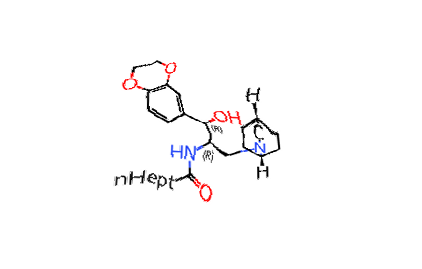 CCCCCCCC(=O)N[C@H](CN1C[C@H]2CC[C@@H]1CC2)[C@H](O)c1ccc2c(c1)OCCO2